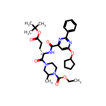 CCOC(=O)N1CCN(C(=O)[C@H](CCC(=O)OC(C)(C)C)NC(=O)c2cc(OC3CCCC3)nc(-c3ccccc3)n2)CC1C